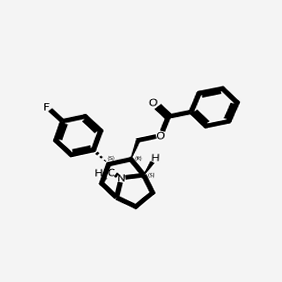 CN1C2CC[C@H]1[C@H](COC(=O)c1ccccc1)[C@@H](c1ccc(F)cc1)C2